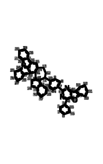 c1ccc(-c2nc(-c3ccc(C4CCc5cc6c7ccccc7n7c8ccccc8c(c5-c5ccc8ccccc8c54)c67)cc3)nc3c2oc2ccccc23)cc1